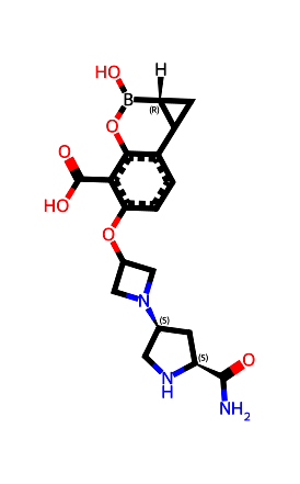 NC(=O)[C@@H]1C[C@H](N2CC(Oc3ccc4c(c3C(=O)O)OB(O)[C@@H]3CC43)C2)CN1